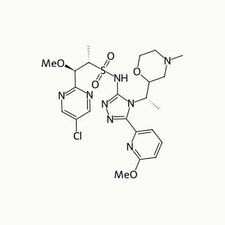 COc1cccc(-c2nnc(NS(=O)(=O)[C@@H](C)[C@H](OC)c3ncc(Cl)cn3)n2[C@@H](C)C2CN(C)CCO2)n1